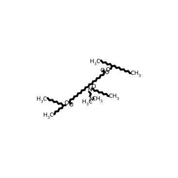 CCCCCCCCCC(CCCCCC)COOC(=O)CCCCCCCCC(CCCCCCCCCC(=O)OCC(CCCCCC)CCCCCCCC)N(CCCN(C)C)C(=O)CCCCCCCC